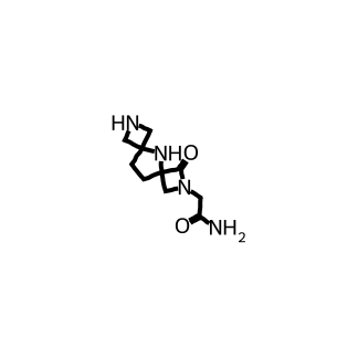 NC(=O)CN1CC2(CCC3(CNC3)N2)C1=O